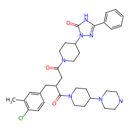 Cc1cc(CC(CC(=O)N2CCC(n3nc(-c4ccccc4)[nH]c3=O)CC2)C(=O)N2CCC(N3CC[N]CC3)CC2)ccc1Cl